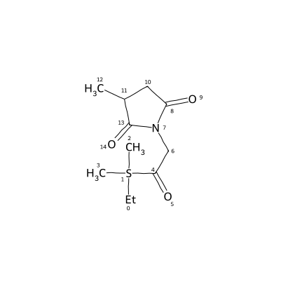 CCS(C)(C)C(=O)CN1C(=O)CC(C)C1=O